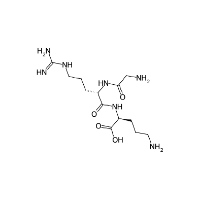 N=C(N)NCCC[C@H](NC(=O)CN)C(=O)N[C@@H](CCCN)C(=O)O